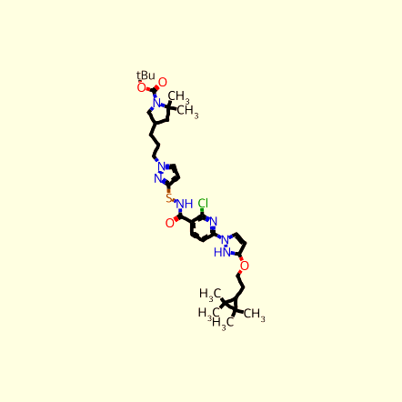 CC(C)(C)OC(=O)N1CC(CCCn2ccc(SNC(=O)c3ccc(N4C=CC(OCCC5C(C)(C)C5(C)C)N4)nc3Cl)n2)CC1(C)C